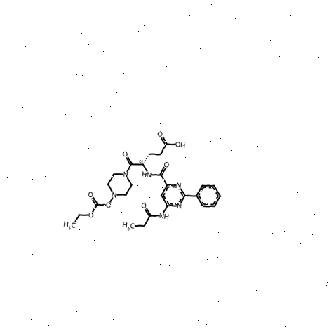 CCOC(=O)ON1CCN(C(=O)[C@H](CCC(=O)O)NC(=O)c2cc(NC(=O)CC)nc(-c3ccccc3)n2)CC1